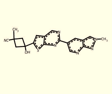 Cn1cc2cc(-c3ncc4cc(C5(O)CC(C)(C#N)C5)sc4n3)cnc2n1